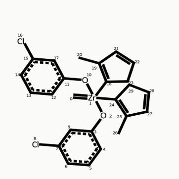 [CH2]=[Zr]([O]c1cccc(Cl)c1)([O]c1cccc(Cl)c1)([C]1=C(C)C=CC1)[C]1=C(C)C=CC1